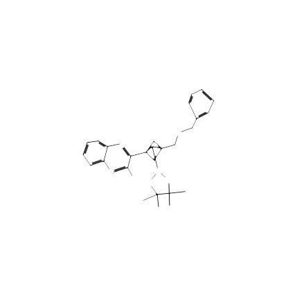 CC1(C)OB(C2C3(COCc4ccccc4)CC2(c2nc4ccccc4nc2Cl)C3)OC1(C)C